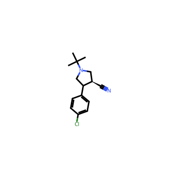 CC(C)(C)N1CC(c2ccc(Cl)cc2)[C@H](C#N)C1